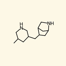 CC1CNCC(CC2CC3CC2CN3)C1